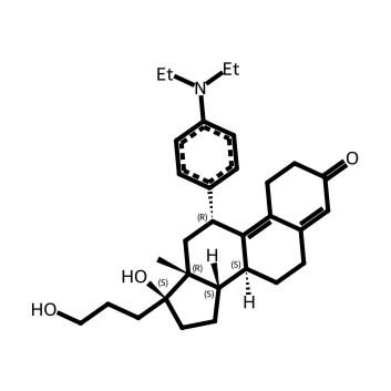 CCN(CC)c1ccc([C@H]2C[C@]3(C)[C@@H](CC[C@]3(O)CCCO)[C@@H]3CCC4=CC(=O)CCC4=C32)cc1